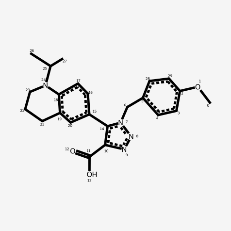 COc1ccc(Cn2nnc(C(=O)O)c2-c2ccc3c(c2)CCCN3C(C)C)cc1